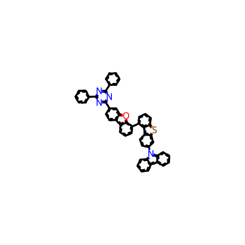 c1ccc(-c2nc(-c3ccccc3)nc(-c3ccc4c(c3)oc3c(-c5cccc6sc7cc(-n8c9ccccc9c9ccccc98)ccc7c56)cccc34)n2)cc1